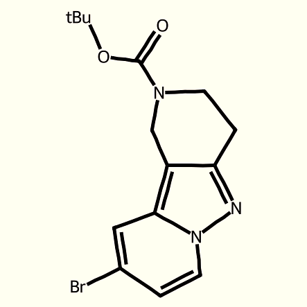 CC(C)(C)OC(=O)N1CCc2nn3ccc(Br)cc3c2C1